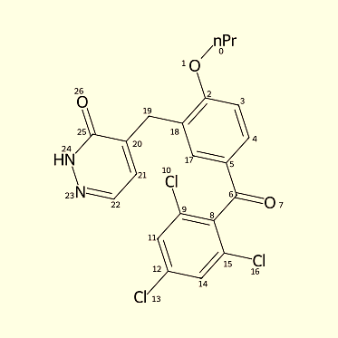 CCCOc1ccc(C(=O)c2c(Cl)cc(Cl)cc2Cl)cc1Cc1ccn[nH]c1=O